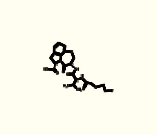 CC(C)[C@H](NC(=O)COCCF)C(=O)N[C@H]1COc2cccc3c2N(C1=O)[C@H](C(=O)O)C3